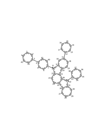 c1ccc(-c2ccc(-n3c4cc(-c5ccccc5)ccc4c4c3ccc3c5ccccc5n(-c5ccccc5)c34)cc2)cc1